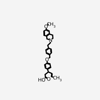 CC=CC(CC(=O)O)c1ccc(OCc2ccc(CCN3CCc4cc(OC)ccc4C3)cc2)cc1